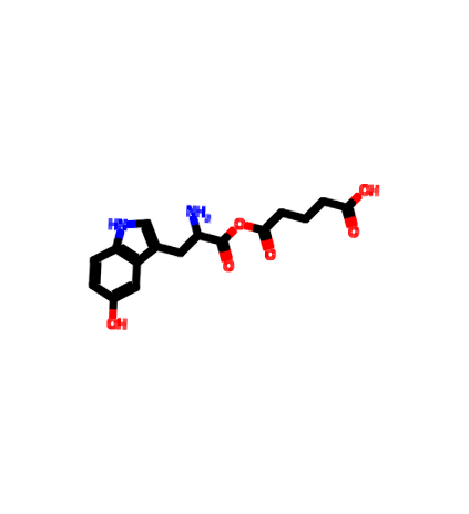 NC(Cc1c[nH]c2ccc(O)cc12)C(=O)OC(=O)CCCC(=O)O